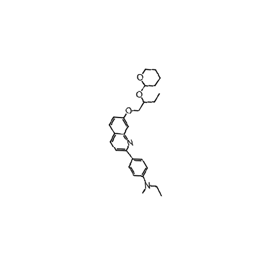 CCC(COc1ccc2ccc(-c3ccc(N(C)CC)cc3)nc2c1)OC1CCCCO1